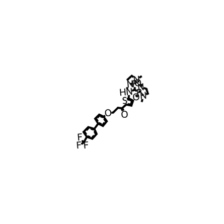 CN1CCN(C)P1(=O)C(Nc1ccc(C(=O)CCOc2ccc(-c3ccc(C(F)(F)F)cc3)cc2)s1)P1(=O)N(C)CCN1C